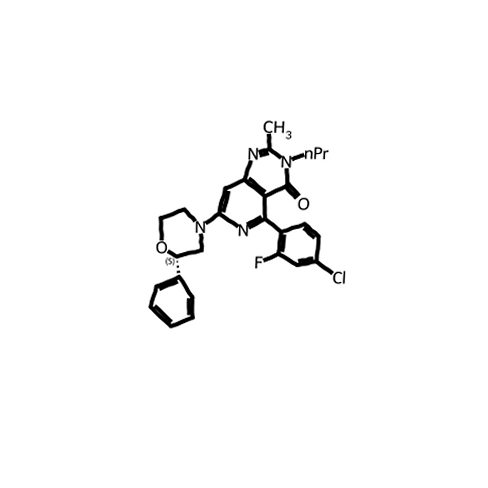 CCCn1c(C)nc2cc(N3CCO[C@@H](c4ccccc4)C3)nc(-c3ccc(Cl)cc3F)c2c1=O